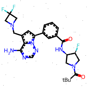 CC(C)(C)C(=O)N1C[C@H](F)[C@H](NC(=O)c2cccc(-c3cc(CN4CC(F)(F)C4)c4c(N)ncnn34)c2)C1